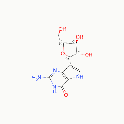 Nc1nc2c([C@@H]3O[C@H](CO)[C@@H](O)[C@@H]3O)c[nH]c2c(=O)[nH]1